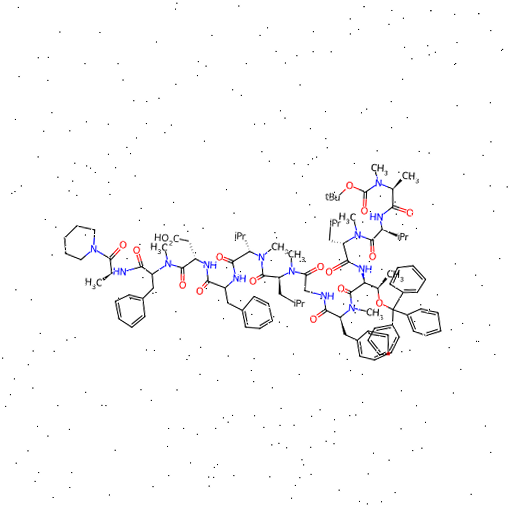 CC(C)C[C@@H](C(=O)N(C)[C@H](C(=O)NC(Cc1ccccc1)C(=O)N[C@@H](CC(=O)O)C(=O)N(C)C(Cc1ccccc1)C(=O)N[C@@H](C)C(=O)N1CCCCC1)C(C)C)N(C)C(=O)CNC(=O)[C@H](Cc1ccccc1)N(C)C(=O)[C@@H](NC(=O)[C@H](CC(C)C)N(C)C(=O)[C@@H](NC(=O)[C@H](C)N(C)C(=O)OC(C)(C)C)C(C)C)[C@@H](C)OC(c1ccccc1)(c1ccccc1)c1ccccc1